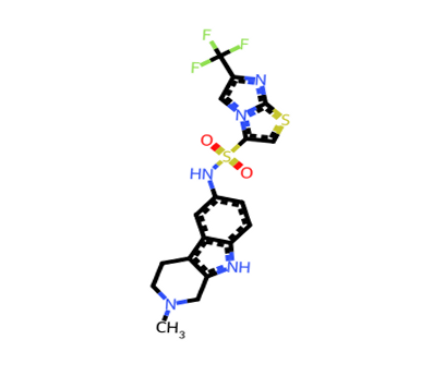 CN1CCc2c([nH]c3ccc(NS(=O)(=O)c4csc5nc(C(F)(F)F)cn45)cc23)C1